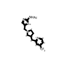 CC(=O)Nc1ncc(CN2CCC(Cc3cc(C(F)(F)F)ccn3)C2)s1